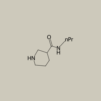 CCCNC(=O)C1CCCNC1